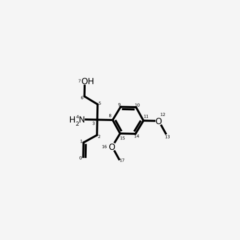 C=CCC(N)(CCO)c1ccc(OC)cc1OC